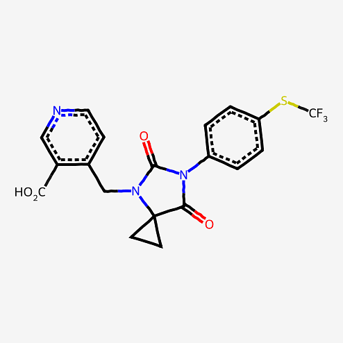 O=C(O)c1cnccc1CN1C(=O)N(c2ccc(SC(F)(F)F)cc2)C(=O)C12CC2